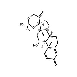 CCCC1(O)OCC(=O)[C@]2(CC[C@H]3[C@@H]4CCC5=CC(=O)C=C[C@]5(C)[C@H]4C(O)C[C@@]32C)O1